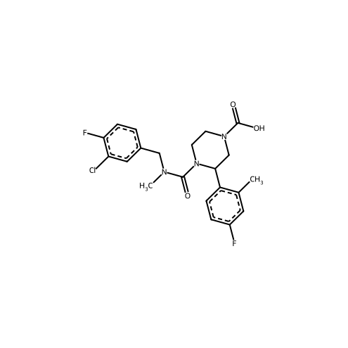 Cc1cc(F)ccc1C1CN(C(=O)O)CCN1C(=O)N(C)Cc1ccc(F)c(Cl)c1